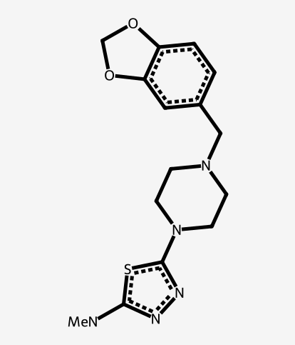 CNc1nnc(N2CCN(Cc3ccc4c(c3)OCO4)CC2)s1